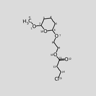 COC1CCCC(OCCOC(=O)CCCl)O1